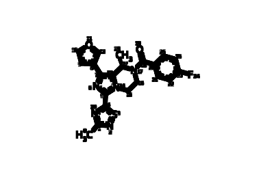 Cc1nsc(-c2nc(-c3ccoc3)c3n2CCN(C(=O)c2ccc(F)cc2)[C@@H]3C)n1